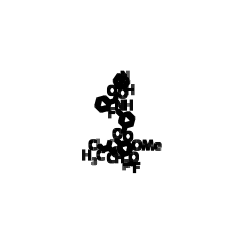 C=C(Cl)/C(C[C@H](OC(=O)c1cccc(CNC(C(=O)O[C@H]2CN3CCC2CC3)c2ccccc2F)c1)c1ccc(OC(F)F)c(OC)c1)=C(\C)Cl